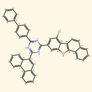 Clc1cc(-c2nc(-c3ccc(-c4ccccc4)cc3)nc(-c3cc4ccccc4c4ccccc34)n2)cc2oc3c4ccccc4ccc3c12